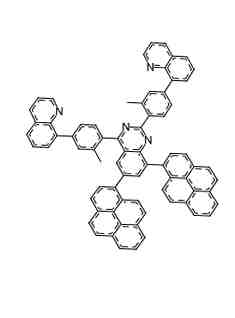 Cc1cc(-c2cccc3cccnc23)ccc1-c1nc(-c2ccc(-c3cccc4cccnc34)cc2C)c2cc(-c3ccc4ccc5cccc6ccc3c4c56)cc(-c3ccc4ccc5cccc6ccc3c4c56)c2n1